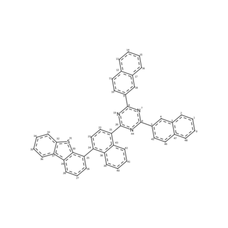 c1ccc2cc(-c3nc(-c4ccc5ccccc5c4)nc(-c4ccc(-c5cccc6c5sc5ccccc56)c5ccccc45)n3)ccc2c1